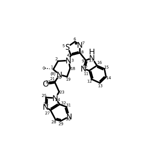 C[C@@H]1CN(c2scnc2-c2nc3ccccc3[nH]2)CCN1C(=O)Cn1cnc2ccncc21